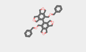 c1ccc(COCc2c3c(c4c(c2-c2c(COCc5ccccc5)c5c(c6c2COC6)COC5)COC4)COC3)cc1